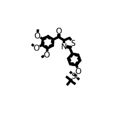 COc1cc(C(=O)C2CSC(c3ccc(O[Si](C)(C)C(C)(C)C)cc3)=N2)cc(OC)c1OC